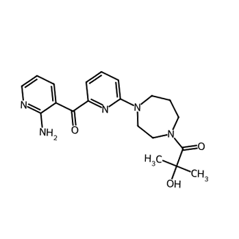 CC(C)(O)C(=O)N1CCCN(c2cccc(C(=O)c3cccnc3N)n2)CC1